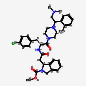 CCN(CC)CC(c1ccccc1C(F)(F)F)N1CCN(C(=O)[C@@H](Cc2ccc(Cl)cc2)NC(=O)CC2c3ccccc3CN2C(=O)OC(C)(C)C)CC1